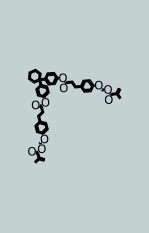 C=C(C)C(=O)OCOc1ccc(CCC(=O)Oc2ccc(C3(c4ccc(OC(=O)CCc5ccc(OCOC(=O)C(=C)C)cc5)cc4)CCCCC3)cc2)cc1